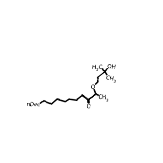 CCCCCCCCCCCCCCCCCC(=O)C(C)OCCC(C)(C)O